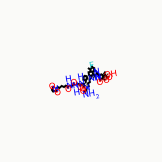 CC[C@@]1(O)C(=O)OCc2c1cc1n(c2=O)Cc2c-1nc1cc(F)c(C)c3c1c2[C@@H](NCCCCN(CC(N)=O)C(=O)[C@H](Cc1ccccc1)NC(=O)CNC(=O)CNC(=O)CCCCCN1C(=O)C=CC1=O)CC3